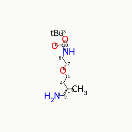 C/C(=C/N)CCOCCNC(=O)OC(C)(C)C